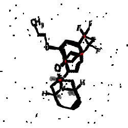 CCCOc1cc(C(F)(F)F)ccc1O[C@H]1C[C@H]2CC#C[C@@H](C1)N2Oc1ccc(C(F)(F)F)cn1